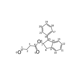 O=[C]CCC(=O)OC1Cc2ccccc2C1c1ccccc1